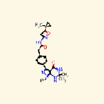 CC(C)n1nc(-c2ccc(CC(=O)Nc3cc(C4(C(F)(F)F)CC4)on3)cc2)c2c1NC(C)(C)NC2=O